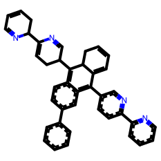 C1=CCC(C2=CCC(C3=c4ccc(-c5ccccc5)cc4=C(c4ccc(-c5ccccn5)nc4)C4=CC=CCC43)C=N2)N=C1